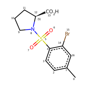 Cc1ccc(S(=O)(=O)N2CCC[C@H]2C(=O)O)c(Br)c1